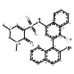 CN1C=C(S(=O)(=O)Nc2cc(-c3c(O)ccc4ccccc34)c(O)c3ccccc23)C(=O)N(C)C1